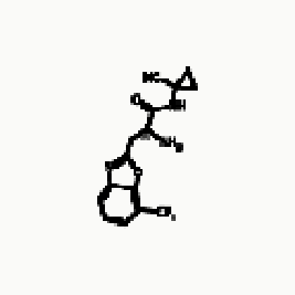 N#CC1(NC(=O)[C@@H](N)Cc2nc3cccc(C(F)(F)F)c3o2)CC1